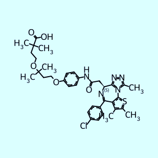 Cc1sc2c(c1C)C(c1ccc(Cl)cc1)=N[C@@H](CC(=O)Nc1ccc(OCCC(C)(C)OCCC(C)(C)C(=O)O)cc1)c1nnc(C)n1-2